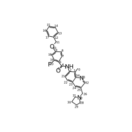 Cc1c(NC(=O)c2ccc(OCc3ccccc3)cc2F)ccc2cc(CN3CCCC3)cnc12